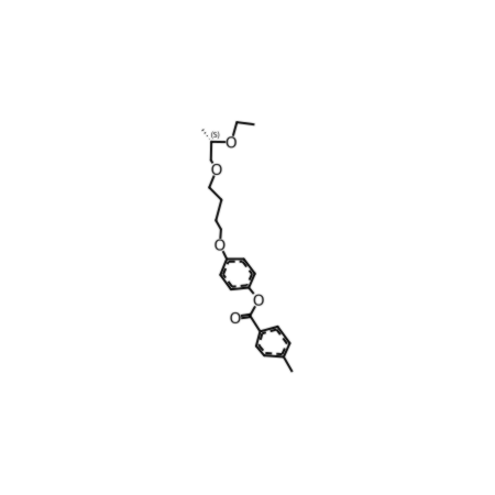 CCO[C@@H](C)COCCCCOc1ccc(OC(=O)c2ccc(C)cc2)cc1